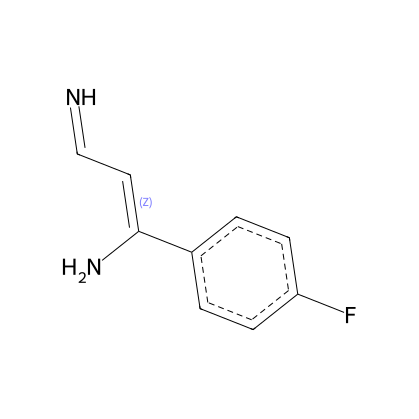 N=C/C=C(\N)c1ccc(F)cc1